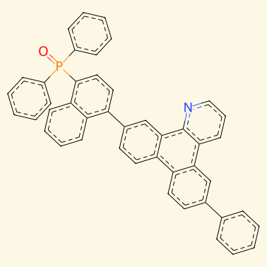 O=P(c1ccccc1)(c1ccccc1)c1ccc(-c2ccc3c4ccc(-c5ccccc5)cc4c4cccnc4c3c2)c2ccccc12